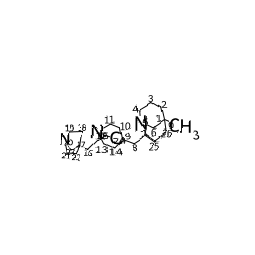 CC12CCCN(C1)C(CC13CCN(CC1)C(CC14CCN(CC1)C4)C3)CC2